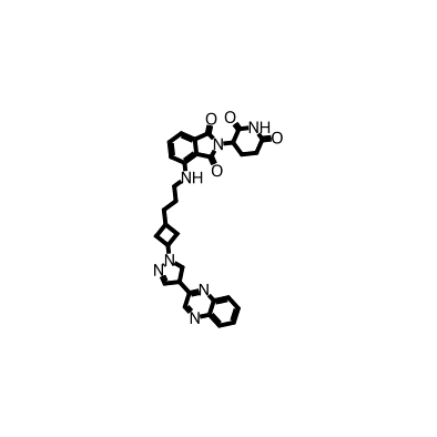 O=C1CCC(N2C(=O)c3cccc(NCCCC4CC(N5CC(c6cnc7ccccc7n6)C=N5)C4)c3C2=O)C(=O)N1